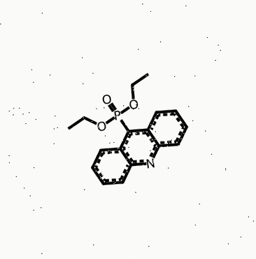 CCOP(=O)(OCC)c1c2ccccc2nc2ccccc12